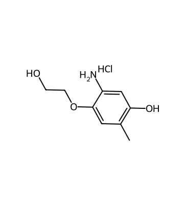 Cc1cc(OCCO)c(N)cc1O.Cl